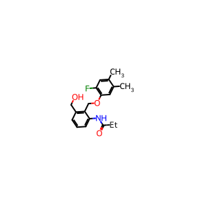 CCC(=O)Nc1cccc(CO)c1COc1cc(C)c(C)cc1F